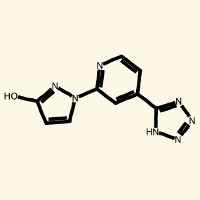 Oc1ccn(-c2cc(-c3nnn[nH]3)ccn2)n1